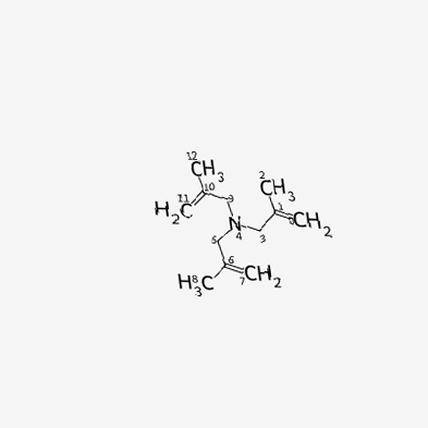 C=C(C)CN(CC(=C)C)CC(=C)C